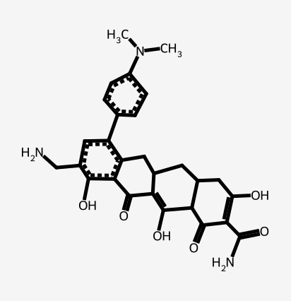 CN(C)c1ccc(-c2cc(CN)c(O)c3c2CC2CC4CC(O)=C(C(N)=O)C(=O)C4C(O)=C2C3=O)cc1